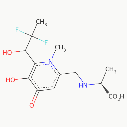 C[C@H](NCc1cc(=O)c(O)c(C(O)C(C)(F)F)n1C)C(=O)O